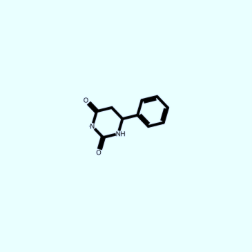 O=C1CC(c2ccccc2)NC(=O)[N]1